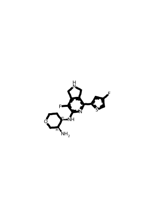 N[C@H]1COCC[C@H]1Nc1nc(-c2cc(F)cs2)c2c(c1F)CNC2